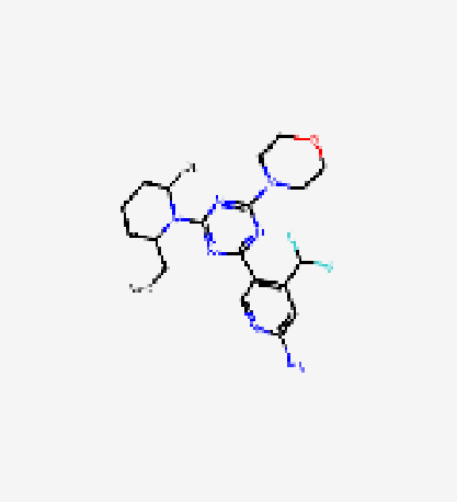 COCC1CCCC(C)N1c1nc(-c2cnc(N)cc2C(F)F)nc(N2CCOCC2)n1